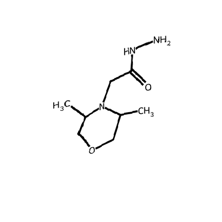 CC1COCC(C)N1CC(=O)NN